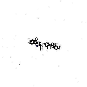 Nc1cc(F)ccc1NC(=O)c1ccc(CNC(=O)/C=C\C2NC(=O)c3cc(F)c(F)cc32)cc1